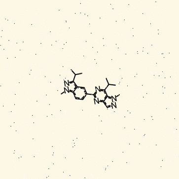 CC(C)c1nn(C)c2ccc(-c3nc(C(C)C)c4c(cnn4C)n3)cc12